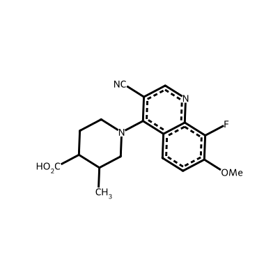 COc1ccc2c(N3CCC(C(=O)O)C(C)C3)c(C#N)cnc2c1F